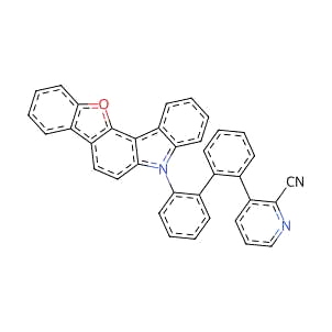 N#Cc1ncccc1-c1ccccc1-c1ccccc1-n1c2ccccc2c2c3oc4ccccc4c3ccc21